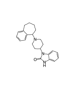 O=c1[nH]c2ccccc2n1C1CCN(C2CCCCc3ccccc32)CC1